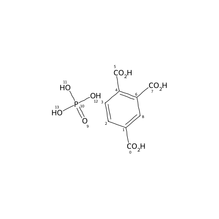 O=C(O)c1ccc(C(=O)O)c(C(=O)O)c1.O=P(O)(O)O